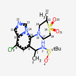 CC(N[S@@+]([O-])C(C)(C)C)c1cc(Cl)c2cncn2c1N1CCS(=O)(=O)C(C)C1